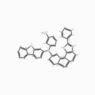 Cc1cccc(N(c2ccc3c(c2)oc2ccccc23)c2ccc3ccc4ccc5nc(-c6ccccc6)sc5c4c3c2)c1